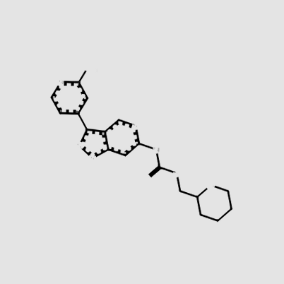 Cc1cc(-c2n[nH]c3cc(NC(=O)NCC4CCCCO4)ncc23)ccn1